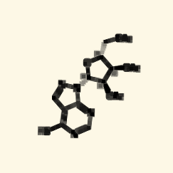 CC(=O)OC[C@H]1O[C@@H](n2ncc3c(S)ncnc32)[C@H](OC(C)=O)[C@@H]1OC(C)=O